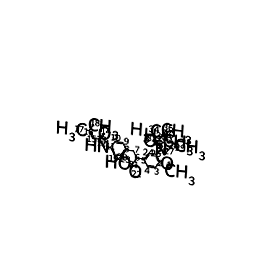 COc1ccc(C(Cc2ccc(NC(=O)C=C(C)C)cc2)C(=O)O)cc1N(CC(C)C)C(=O)C(C)(C)C